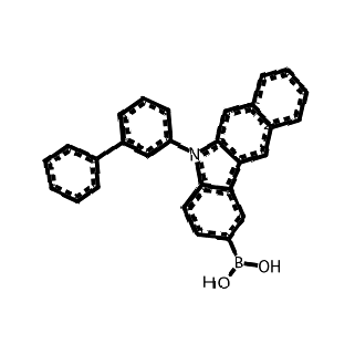 OB(O)c1ccc2c(c1)c1cc3ccccc3cc1n2-c1cccc(-c2ccccc2)c1